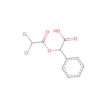 O=C(OC(C(=O)O)c1ccccc1)C(Cl)Cl